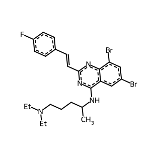 CCN(CC)CCCC(C)Nc1nc(C=Cc2ccc(F)cc2)nc2c(Br)cc(Br)cc12